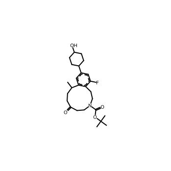 CC1CCC(=O)CCN(C(=O)OC(C)(C)C)CCc2c(F)cc(C3CCC(O)CC3)cc21